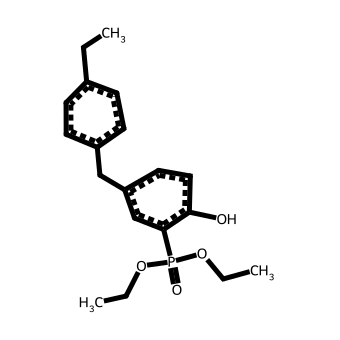 CCOP(=O)(OCC)c1cc(Cc2ccc(CC)cc2)ccc1O